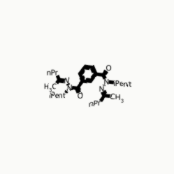 CCCC(C)=NN(C(=O)c1cccc(C(=O)N(N=C(C)CCC)C(C)CCC)c1)C(C)CCC